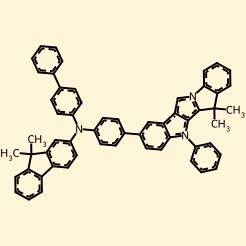 CC1(C)c2ccccc2-c2ccc(N(c3ccc(-c4ccccc4)cc3)c3ccc(-c4ccc5c(c4)c4cn6c(c4n5-c4ccccc4)C(C)(C)c4ccccc4-6)cc3)cc21